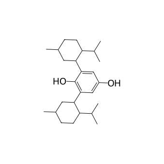 CC1CCC(C(C)C)C(c2cc(O)cc(C3CC(C)CCC3C(C)C)c2O)C1